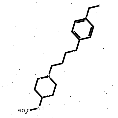 CCOC(=O)NC1CCN(CCCCc2ccc(CI)cc2)CC1